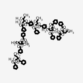 CCC(C)C(OC(=O)c1ccccc1)C(C)OC(=O)c1ccccc1.CCC(C)C(OC(=O)c1ccccc1)C(C)OC(=O)c1ccccc1.CCCC(C)(OC(=O)c1ccccc1)C(C)(C)OC(=O)c1ccccc1.CCCC(C)(OC(=O)c1ccccc1)C(C)OC(=O)c1ccccc1.CCCC(OC(=O)c1ccccc1)C(C)(C)OC(=O)c1ccccc1.CCCC(OC(=O)c1ccccc1)C(C)OC(=O)c1ccccc1